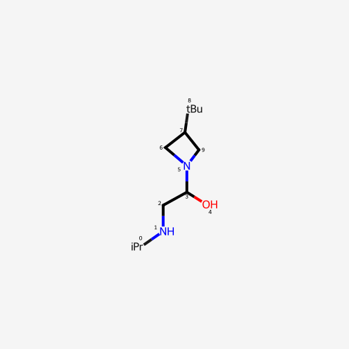 CC(C)NCC(O)N1CC(C(C)(C)C)C1